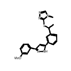 COc1cccc(-c2cc(-c3cccc(C(C)Sc4nncn4C)c3)[nH]n2)c1